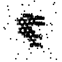 COc1cc(C(C(=O)N2CCCC[C@H]2C(=O)N[C@H](CCC(N)=O)C(N)=O)C2CCCCC2)cc(OC)c1OC